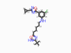 CC(C)(C)C1N=C(CCCCCNc2cc(F)cc(-c3nc(C4CC4)no3)c2)ON1